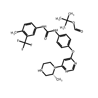 CC(C)(C)OC=O.Cc1ccc(NC(=O)Nc2ccc(Oc3cc(N4CCNC[C@H]4C)ncn3)cc2)cc1C(F)(F)F